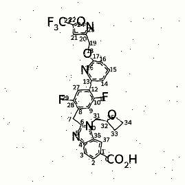 O=C(O)c1ccc2nc(Cc3cc(F)c(-c4cccc(OCc5cc(C(F)(F)F)on5)n4)cc3F)n(C[C@@H]3CCO3)c2c1